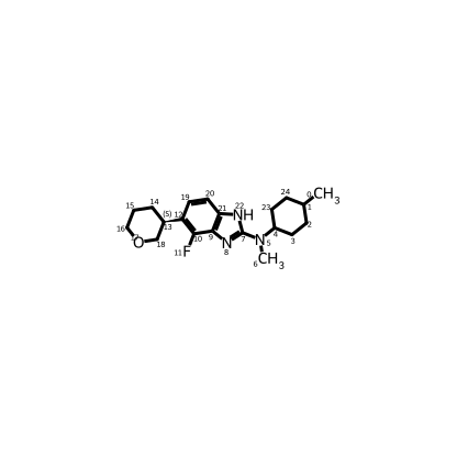 CC1CCC(N(C)c2nc3c(F)c([C@@H]4CCCOC4)ccc3[nH]2)CC1